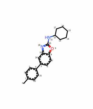 Cc1ccc(-c2ccc3oc(NC4CCCCC4)nc3c2)cc1